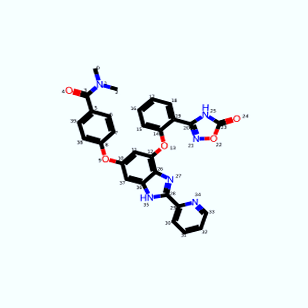 CN(C)C(=O)c1ccc(Oc2cc(Oc3ccccc3-c3noc(=O)[nH]3)c3nc(-c4ccccn4)[nH]c3c2)cc1